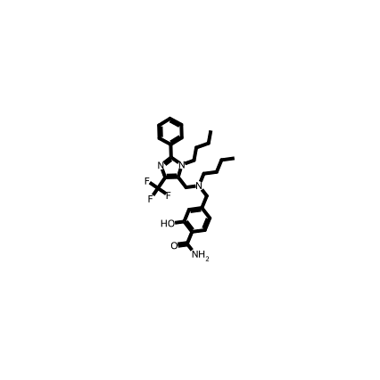 CCCCN(Cc1ccc(C(N)=O)c(O)c1)Cc1c(C(F)(F)F)nc(-c2ccccc2)n1CCCC